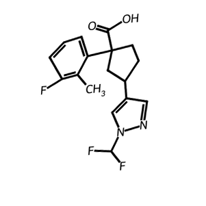 Cc1c(F)cccc1C1(C(=O)O)CCC(c2cnn(C(F)F)c2)C1